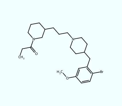 CCC(=O)N1CCCC(CCCN2CCC(Cc3cc(OC)ccc3Br)CC2)C1